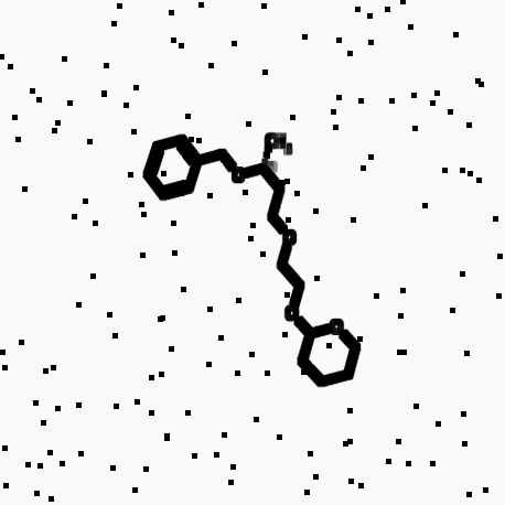 C[C@H](CCOCCOC1CCCCO1)OCc1ccccc1